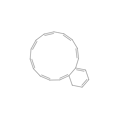 C1=CC=CC=CC=C2CC=CC=C2C=CC=CC=C1